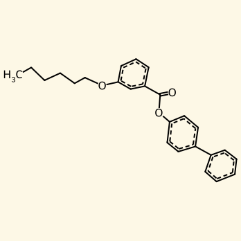 CCCCCCOc1cccc(C(=O)Oc2ccc(-c3ccccc3)cc2)c1